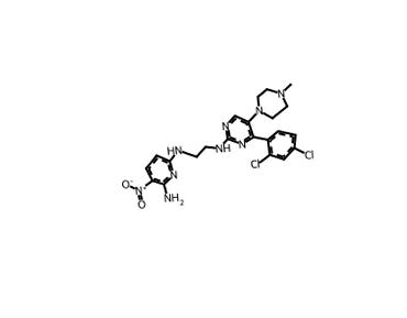 CN1CCN(c2cnc(NCCNc3ccc([N+](=O)[O-])c(N)n3)nc2-c2ccc(Cl)cc2Cl)CC1